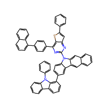 c1ccc(-c2cc3nc(-n4c5ccc(-c6cccc7c8ccccc8n(-c8ccccc8)c67)cc5c5cc6ccccc6cc54)nc(-c4ccc(-c5cccc6ccccc56)cc4)c3s2)cc1